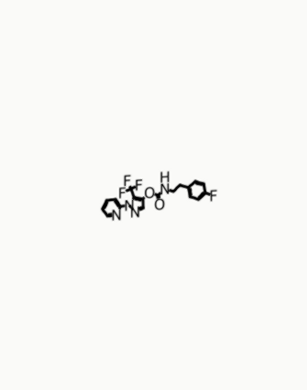 O=C(NCCc1ccc(F)cc1)Oc1cnn(-c2ccccn2)c1C(F)(F)F